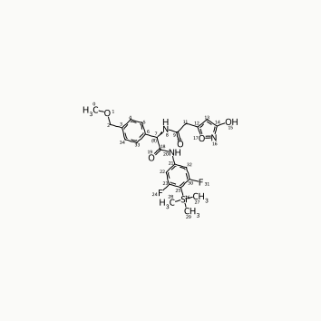 COCc1ccc([C@@H](NC(=O)Cc2cc(O)no2)C(=O)Nc2cc(F)c([Si](C)(C)C)c(F)c2)cc1